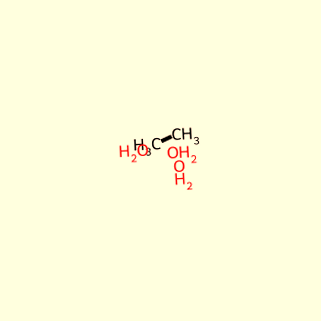 CC.O.O.O